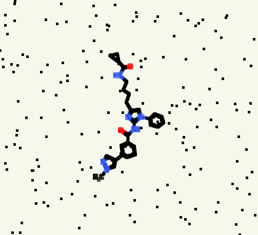 Cn1cc(-c2cccc(C(=O)Nc3nc(CCCCNC(=O)C4CC4)cn3-c3ccccc3)c2)cn1